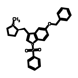 CN1CCC[C@@H]1Cc1cn(S(=O)(=O)c2ccccc2)c2ccc(OCc3ccccc3)cc12